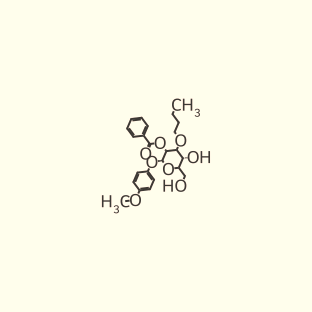 CCCCOC1[C@H](O)C(CO)O[C@@H](Oc2ccc(OC)cc2)[C@H]1OC(=O)c1ccccc1